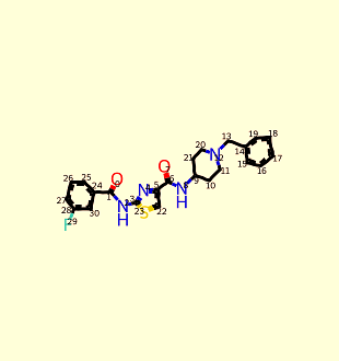 O=C(Nc1nc(C(=O)NC2CCN(Cc3ccccc3)CC2)cs1)c1cccc(F)c1